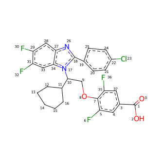 O=C(O)c1cc(F)c(OCC(C2CCCCC2)n2c(-c3ccc(Cl)cc3)nc3cc(F)c(F)cc32)c(F)c1